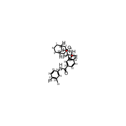 CC(=O)N[C@@H]1C[C@H]2CCC[C@@H](C1)N2C(=O)C(F)(F)c1cc(C(=O)Nc2ccc(F)c(C)c2)ccc1F